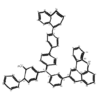 CC1C=C(N(c2ccc(-c3ccc(-c4cccc5ccccc45)cc3)cc2)c2cccc(-c3cc4c5c(cccc5c3)Oc3ccccc3-4)c2)C=CC1c1ccccc1